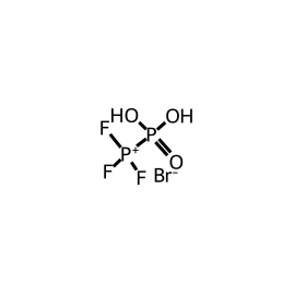 O=P(O)(O)[P+](F)(F)F.[Br-]